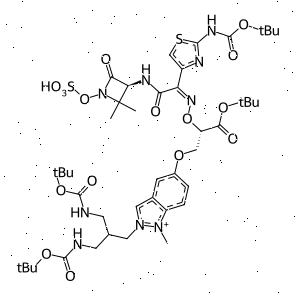 C[n+]1c2ccc(OC[C@H](O/N=C(\C(=O)N[C@@H]3C(=O)N(OS(=O)(=O)O)C3(C)C)c3csc(NC(=O)OC(C)(C)C)n3)C(=O)OC(C)(C)C)cc2cn1CC(CNC(=O)OC(C)(C)C)CNC(=O)OC(C)(C)C